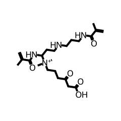 C=C(C)C(=O)NCCCNCCC(NC(=O)C(=C)C)[N+](C)(C)CCCC(=O)CC(=O)O